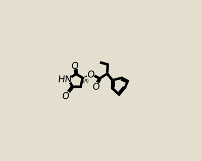 CCC(C(=O)O[C@@H]1CC(=O)NC1=O)c1ccccc1